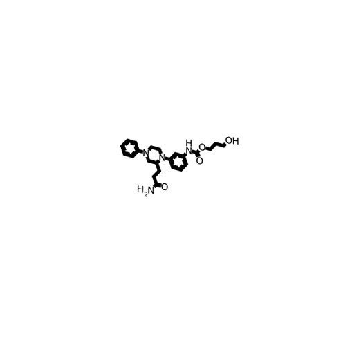 NC(=O)CCC1CN(c2ccccc2)CCN1c1cccc(NC(=O)OCCCO)c1